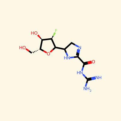 N=C(N)NC(=O)C1=NCC(C2O[C@H](CO)[C@@H](O)[C@H]2F)N1